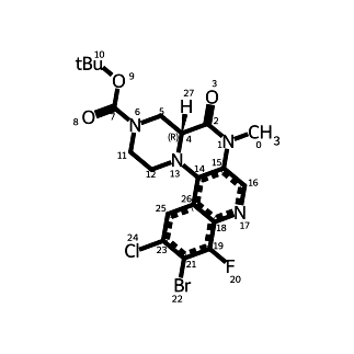 CN1C(=O)[C@H]2CN(C(=O)OC(C)(C)C)CCN2c2c1cnc1c(F)c(Br)c(Cl)cc21